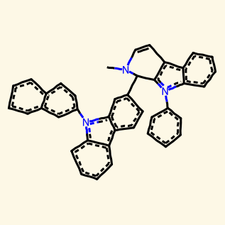 CN1C=Cc2c(n(-c3ccccc3)c3ccccc23)C1c1ccc2c3ccccc3n(-c3ccc4ccccc4c3)c2c1